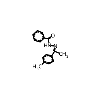 CC(=NNC(=O)c1ccccc1)c1ccc(C)cc1